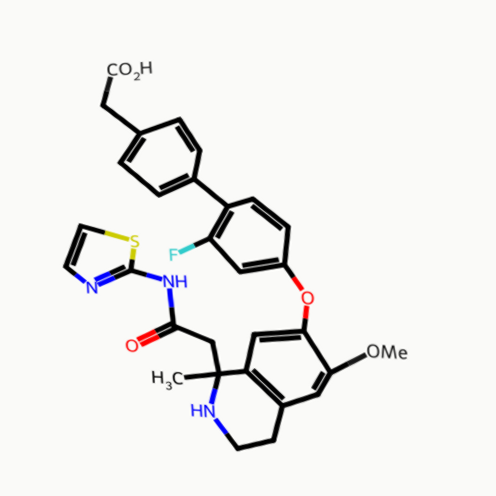 COc1cc2c(cc1Oc1ccc(-c3ccc(CC(=O)O)cc3)c(F)c1)C(C)(CC(=O)Nc1nccs1)NCC2